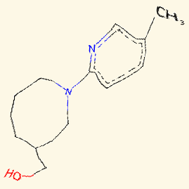 Cc1ccc(N2CCCC(CO)C2)nc1